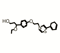 CCOC(CCO)c1ccc(OCCN2C=CSC(C3=CC=CCC3)=C2)cc1